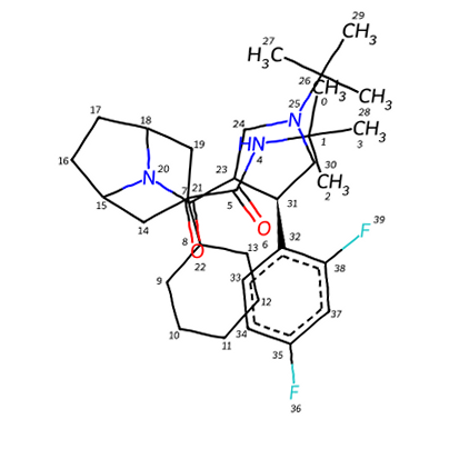 CC(C)(C)NC(=O)C1(C2CCCCC2)CC2CCC(C1)N2C(=O)C1CN(C(C)(C)C)C[C@H]1c1ccc(F)cc1F